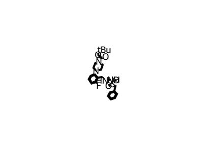 CC(C)(C)OC(=O)N1CCN(c2cccc(F)c2CNNS(=O)(=O)Cc2ccccc2)CC1